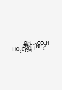 NC(CCCCO[C@@H]1C(O)[C@H](O)C(C(=O)O)O[C@H]1O)C(=O)O